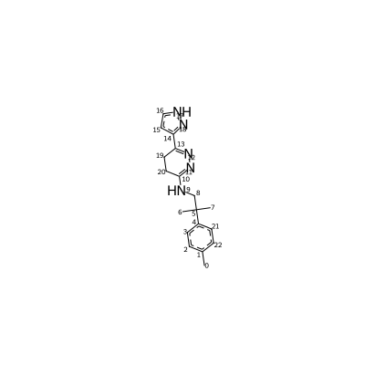 Cc1ccc(C(C)(C)CNC2=NN=C(c3cc[nH]n3)CC2)cc1